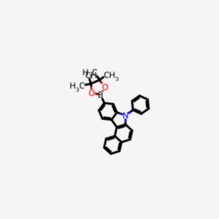 CC1(C)OB(c2ccc3c4c5ccccc5ccc4n(-c4ccccc4)c3c2)OC1(C)C